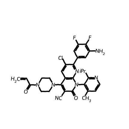 C=CC(=O)N1CCN(c2c(C#N)c(=O)n(-c3c(C)ccnc3C(C)C)c3nc(-c4cc(N)c(F)c(F)c4)c(Cl)cc23)CC1